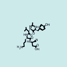 CC(=O)N[C@@H](Cc1ccc(O)cc1)C(=O)N[C@H](C(=O)N[C@@H](CCCCN)C(=O)NC(C#N)CC(=O)O)C(C)C